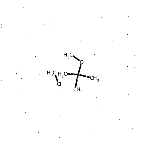 CCl.COC(C)(C)C